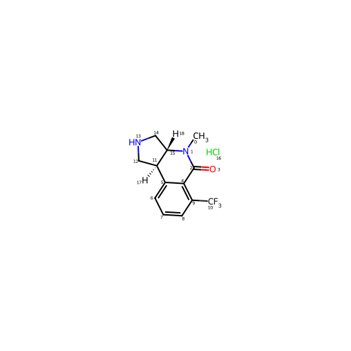 CN1C(=O)c2c(cccc2C(F)(F)F)[C@H]2CNC[C@@H]21.Cl